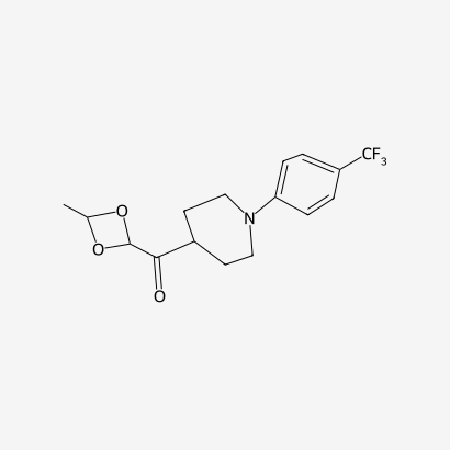 CC1OC(C(=O)C2CCN(c3ccc(C(F)(F)F)cc3)CC2)O1